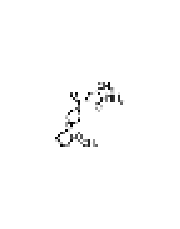 COc1ccccc1N1CCN(C(=O)[CH]C[C@H](C)C(N)=O)CC1